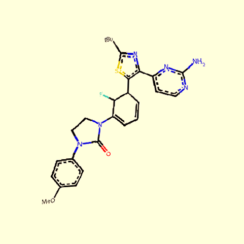 COc1ccc(N2CCN(C3=CC=CC(c4sc(C(C)(C)C)nc4-c4ccnc(N)n4)C3F)C2=O)cc1